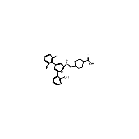 O=C(O)C1CCC(CNc2cc(-c3c(F)cccc3F)cc(-c3ccccc3O)n2)CC1